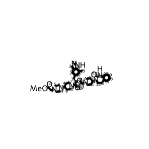 COC(=O)CN1CCN(C2CCN(C(=O)[C@@H](Cc3cc(C)c4[nH]ncc4c3)OC(=O)N3CCC(N4CCc5ccccc5NC4=O)CC3)CC2)CC1